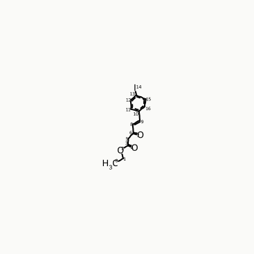 CCOC(=O)CC(=O)C=Cc1ccc(I)cc1